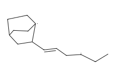 CC[CH]CC=CC1CC2CC[C]1CC2